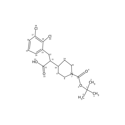 CC(C)(C)OC(=O)N1CCC(C(Cc2cccc(Cl)c2Cl)C(=O)O)CC1